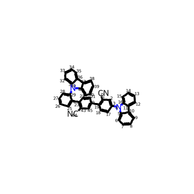 N#Cc1cc(-n2c3ccccc3c3ccccc32)ccc1-c1ccc(-c2ccccc2-n2c3ccccc3c3ccccc32)c(C#N)c1